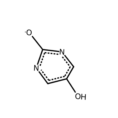 [O]c1ncc(O)cn1